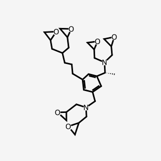 C[C@H](c1cc(CCCC(CC2CO2)CC2CO2)cc(CN(CC2CO2)CC2CO2)c1)N(CC1CO1)CC1CO1